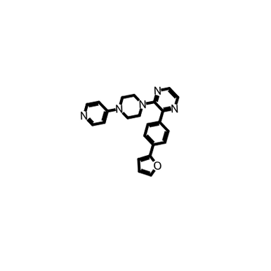 c1coc(-c2ccc(-c3nccnc3N3CCN(c4ccncc4)CC3)cc2)c1